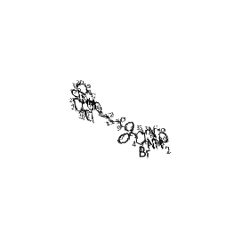 Nc1c(Br)cc(C(=O)OCCCCCOC(=O)Cc2ccccc2Nc2c(Cl)cccc2Cl)cc1CN1CCOCC1